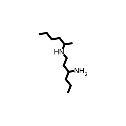 CCCCC(C)NCCC(N)CCC